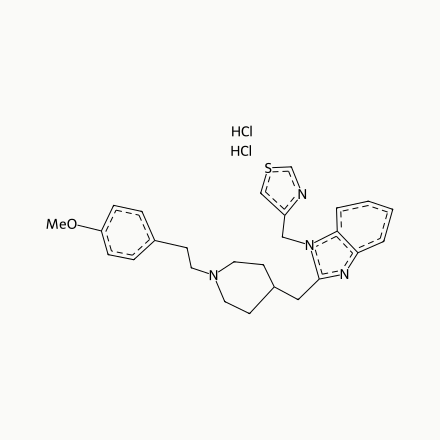 COc1ccc(CCN2CCC(Cc3nc4ccccc4n3Cc3cscn3)CC2)cc1.Cl.Cl